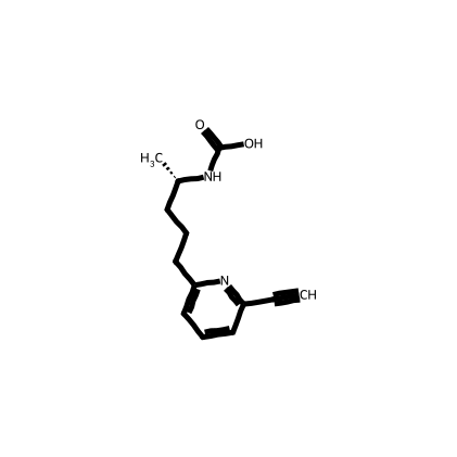 C#Cc1cccc(CCC[C@H](C)NC(=O)O)n1